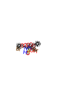 O=CSC1C(NC(=O)COc2cccc(Br)c2)C(=O)N1C(C(=O)OCc1ccccc1)=C(O)CBr